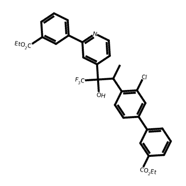 CCOC(=O)c1cccc(-c2ccc(C(C)C(O)(c3ccnc(-c4cccc(C(=O)OCC)c4)c3)C(F)(F)F)c(Cl)c2)c1